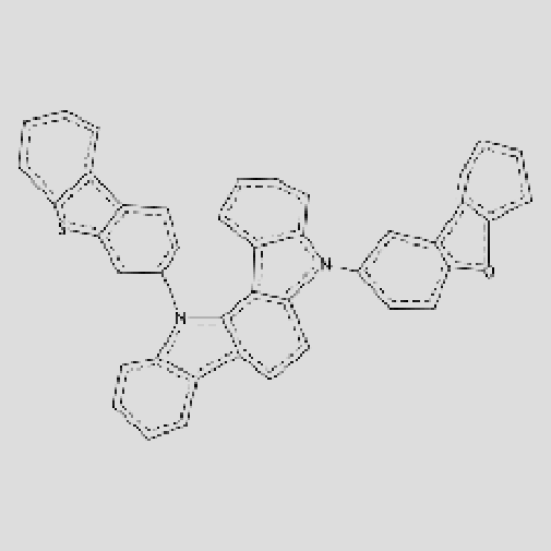 c1ccc2c(c1)oc1ccc(-n3c4ccccc4c4c3ccc3c5ccccc5n(-c5ccc6c(c5)sc5ccccc56)c34)cc12